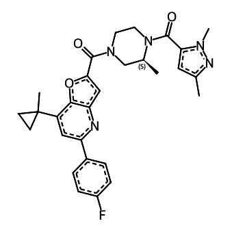 Cc1cc(C(=O)N2CCN(C(=O)c3cc4nc(-c5ccc(F)cc5)cc(C5(C)CC5)c4o3)C[C@@H]2C)n(C)n1